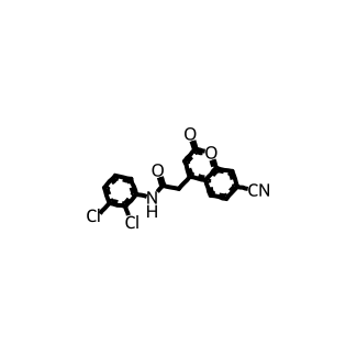 N#Cc1ccc2c(CC(=O)Nc3cccc(Cl)c3Cl)cc(=O)oc2c1